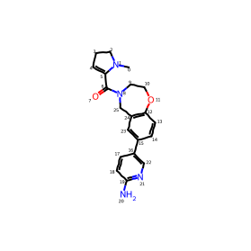 CN1CCC=C1C(=O)N1CCOc2ccc(-c3ccc(N)nc3)cc2C1